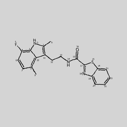 Cc1[nH]c2c(F)ccc(C)c2c1CCNC(=O)c1nc2ccccc2s1